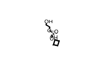 C1CCC1.O=[Si](O)OCCO